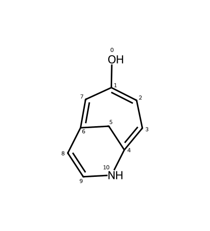 OC1=CC=C2CC(=C1)C=CN2